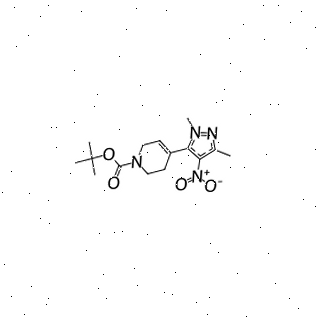 Cc1nn(C)c(C2=CCN(C(=O)OC(C)(C)C)CC2)c1[N+](=O)[O-]